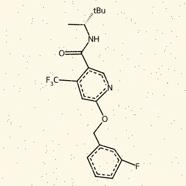 C[C@@H](NC(=O)c1cnc(OCc2cccc(F)c2)cc1C(F)(F)F)C(C)(C)C